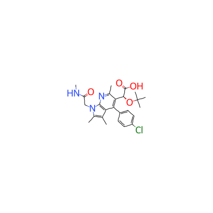 CNC(=O)Cn1c(C)c(C)c2c(-c3ccc(Cl)cc3)c([C@H](OC(C)(C)C)C(=O)O)c(C)nc21